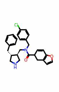 O=C(C1C=Cc2occc2C1)N(Cc1ccc(Cl)cc1)C[C@H]1CNC[C@@H]1Cc1ccccc1